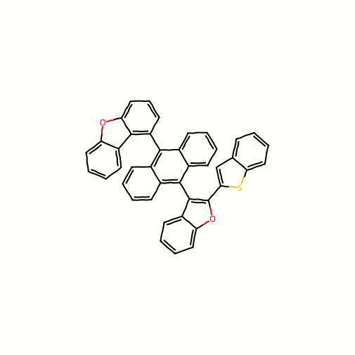 c1ccc2sc(-c3oc4ccccc4c3-c3c4ccccc4c(-c4cccc5oc6ccccc6c45)c4ccccc34)cc2c1